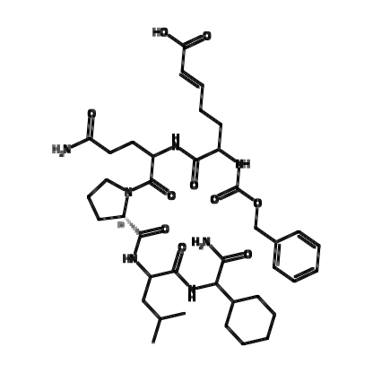 CC(C)CC(NC(=O)[C@@H]1CCCN1C(=O)C(CCC(N)=O)NC(=O)C(CCC=CC(=O)O)NC(=O)OCc1ccccc1)C(=O)NC(C(N)=O)C1CCCCC1